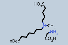 CCCCCCCCCCCCCCCCN(C)CCCCS(=O)(=O)O.NCC(=O)O